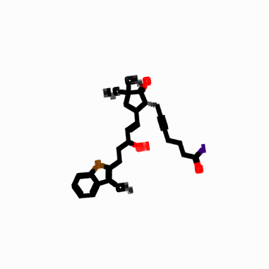 Cc1c(CCC(O)/C=C/C2CC(C)(C)C(=O)[C@@H]2CC#CCCCC(=O)I)sc2ccccc12